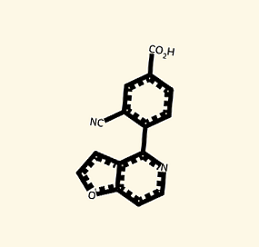 N#Cc1cc(C(=O)O)ccc1-c1nccc2occc12